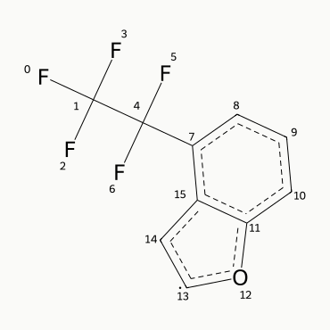 FC(F)(F)C(F)(F)c1cccc2o[c]cc12